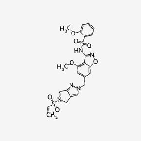 C=CS(=O)(=O)N1Cc2cn(Cc3cc(OC)c4c(NS(=O)(=O)c5ccccc5OC)noc4c3)nc2C1